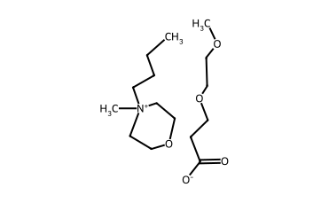 CCCC[N+]1(C)CCOCC1.COCCOCCC(=O)[O-]